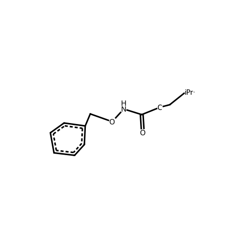 C[C](C)CCC(=O)NOCc1ccccc1